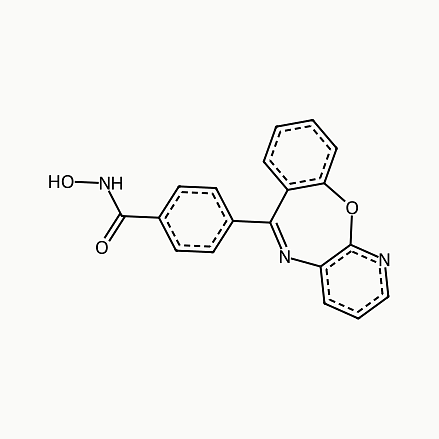 O=C(NO)c1ccc(C2=Nc3cccnc3Oc3ccccc32)cc1